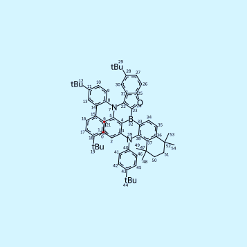 Cc1cc2c3c(c1)N(c1ccc(C(C)(C)C)cc1-c1ccc(C(C)(C)C)cc1)c1c(oc4ccc(C(C)(C)C)cc14)B3c1ccc3c(c1N2c1ccc(C(C)(C)C)cc1)C(C)(C)CCC3(C)C